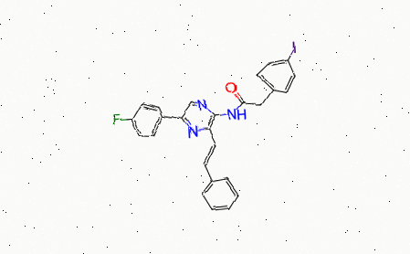 O=C(Cc1ccc(I)cc1)Nc1ncc(-c2ccc(F)cc2)nc1/C=C/c1ccccc1